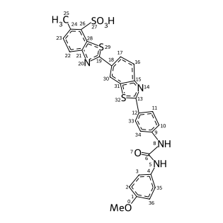 COc1ccc(NC(=O)Nc2ccc(-c3nc4ccc(-c5nc6ccc(C)c(S(=O)(=O)O)c6s5)cc4s3)cc2)cc1